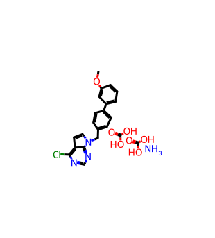 COc1cccc(-c2ccc(Cn3ccc4c(Cl)ncnc43)cc2)c1.N.O=C(O)O.O=C(O)O